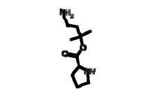 CC(C)(CCN)OC(=O)[C@@H]1CCCN1